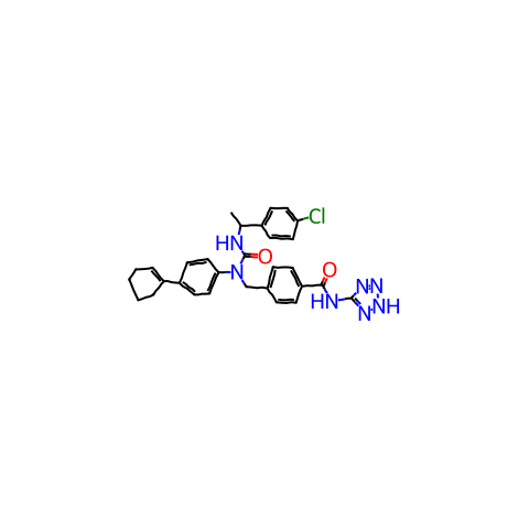 CC(NC(=O)N(Cc1ccc(C(=O)Nc2nn[nH]n2)cc1)c1ccc(C2=CCCCC2)cc1)c1ccc(Cl)cc1